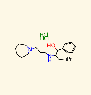 CC(C)CC(NCCCN1CCCCCC1)C(O)c1ccccc1.Cl.Cl